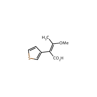 COC(C)=C(C(=O)O)c1ccsc1